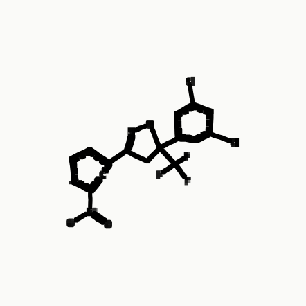 O=[N+]([O-])c1[c]ccc(C2=NOC(c3cc(Cl)cc(Cl)c3)(C(F)(F)F)C2)c1